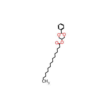 CCCCCCCCCCCCCCCC(=O)OC1COC(c2ccccc2)OC1